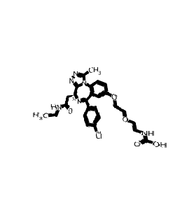 CCNC(=O)C[C@@H]1N=C(c2ccc(Cl)cc2)c2cc(OCCOCCNC(=O)O)ccc2-n2c(C)nnc21